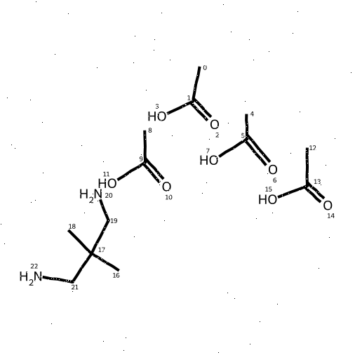 CC(=O)O.CC(=O)O.CC(=O)O.CC(=O)O.CC(C)(CN)CN